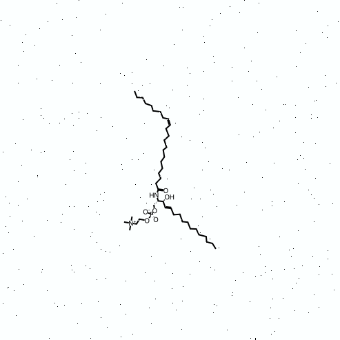 CCCCCCCC/C=C\CCCCCCCCCCCC(=O)N[C@@H](COP(=O)([O-])OCC[N+](C)(C)C)[C@H](O)/C=C/CCCCCCCCCCC